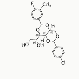 Cc1cc(C2O[C@H]([C@H](O)CO)[C@@H]3OC(c4ccc(Cl)cc4)OC[C@@H]3O2)ccc1F